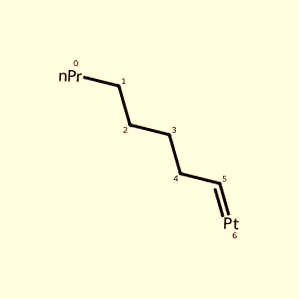 CCCCCCC[CH]=[Pt]